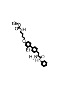 CCc1cc(OCCCCNC(=O)OC(C)(C)C)ccc1-c1ccc(C[C@H](N)C(=O)Nc2ccccc2)cc1